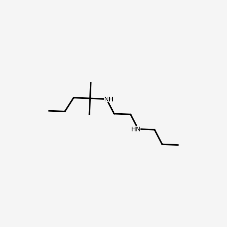 CCCNCCNC(C)(C)CCC